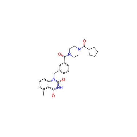 Cc1cccc2c1c(=O)[nH]c(=O)n2Cc1cccc(C(=O)N2CCN(C(=O)C3CCCC3)CC2)c1